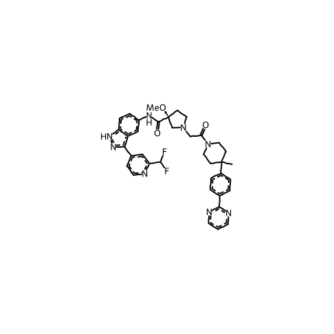 CO[C@@]1(C(=O)Nc2ccc3[nH]nc(-c4ccnc(C(F)F)c4)c3c2)CCN(CC(=O)N2CCC(C)(c3ccc(-c4ncccn4)cc3)CC2)C1